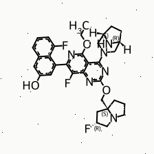 CCOc1nc(-c2cc(O)cc3cccc(F)c23)c(F)c2nc(OC[C@@]34CCCN3C[C@H](F)C4)nc(N3C[C@H]4CC[C@@H](C3)N4)c12